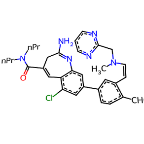 CCCN(CCC)C(=O)C1=Cc2c(Cl)cc(-c3ccc(C=O)c(/C=C\N(C)Cc4ncccn4)c3)cc2N=C(N)C1